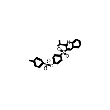 Cc1ccc(S(=O)(=O)Oc2ccc(S(=O)(=O)c3cc4ccccc4nc3C(C)C)cc2)cc1